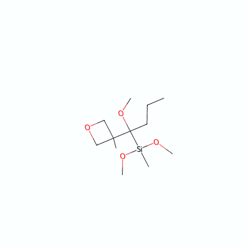 CCCC(OC)(C1(C)COC1)[Si](C)(OC)OC